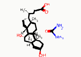 C[C@H](CCC(=O)O)[C@H]1CC[C@H]2[C@@H]3[C@@H](O)C[C@@H]4C[C@H](O)CC[C@]4(C)[C@H]3CC[C@]12C.NC(N)=O